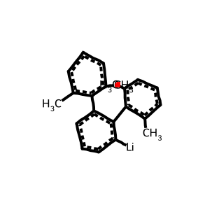 [Li][c]1cccc(-c2c(C)cccc2C)c1-c1c(C)cccc1C